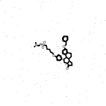 CN(C)C=NS(=O)(=O)CCCCCOc1ccc([C@H]2C[C@]3(C)C(=O)CCC3C3CCc4cc(OCc5ccccc5)ccc4C32)cc1